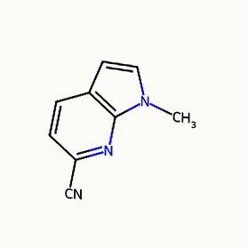 Cn1ccc2ccc(C#N)nc21